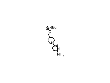 CC(C)(C)[Si](C)(C)OCC1CCN(c2ccc(N)nn2)CC1